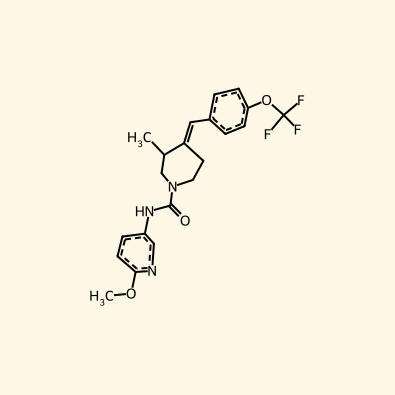 COc1ccc(NC(=O)N2CCC(=Cc3ccc(OC(F)(F)F)cc3)C(C)C2)cn1